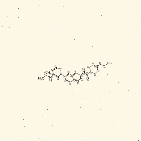 CC(C)Nc1cncc(-c2ccc3nnc(NC(=O)C4CCN(CCF)CC4)cc3c2)n1